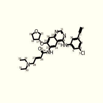 C#Cc1cc(Cl)cc(Nc2ncnc3cc(O[C@H]4CCOC4)c(NC(=O)C=CCN(CC)CC)cc23)c1